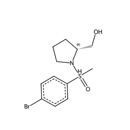 C[SH](=O)(c1ccc(Br)cc1)N1CCC[C@@H]1CO